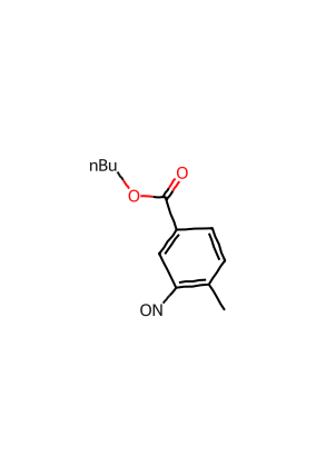 CCCCOC(=O)c1ccc(C)c(N=O)c1